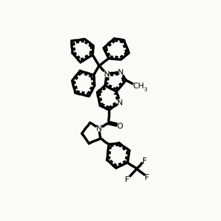 Cc1nn(C(c2ccccc2)(c2ccccc2)c2ccccc2)c2ccc(C(=O)N3CCCC3c3ccc(C(F)(F)F)cc3)nc12